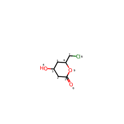 O=C1CC(O)CC(CCl)O1